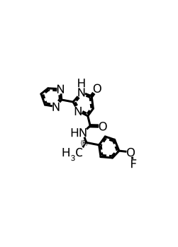 C[C@@H](NC(=O)c1cc(=O)[nH]c(-c2ncccn2)n1)c1ccc(OF)cc1